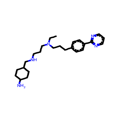 CCN(CCCNCC1CCC(N)CC1)CCCc1ccc(-c2ncccn2)cc1